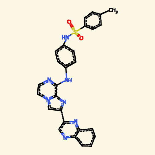 Cc1ccc(S(=O)(=O)Nc2ccc(Nc3nccn4cc(-c5cnc6ccccc6n5)nc34)cc2)cc1